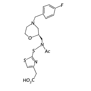 CC(=O)N(C[C@@H]1CN(Cc2ccc(F)cc2)CCO1)Sc1nc(CC(=O)O)cs1